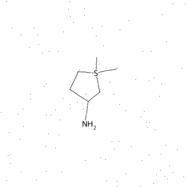 CS1(C)CCC(N)C1